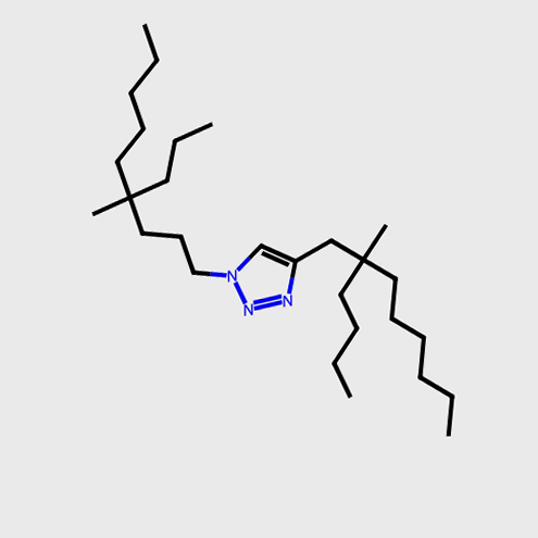 CCCCCCC(C)(CCCC)Cc1cn(CCCC(C)(CCC)CCCCC)nn1